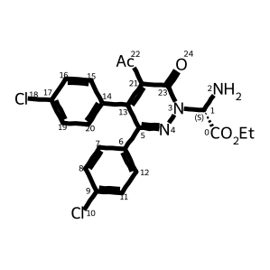 CCOC(=O)[C@@H](N)n1nc(-c2ccc(Cl)cc2)c(-c2ccc(Cl)cc2)c(C(C)=O)c1=O